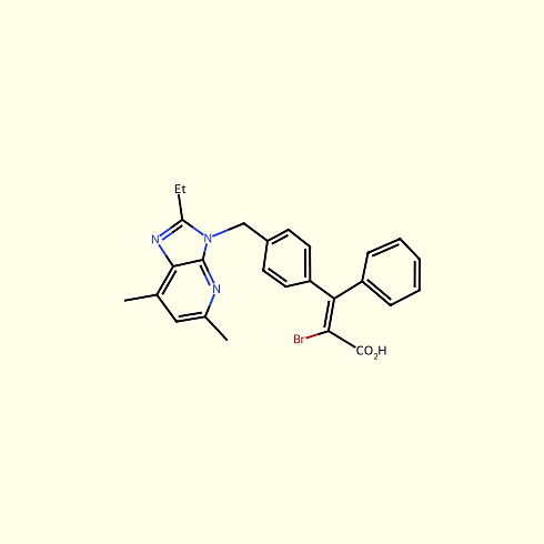 CCc1nc2c(C)cc(C)nc2n1Cc1ccc(C(=C(Br)C(=O)O)c2ccccc2)cc1